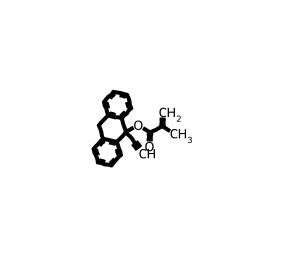 C#CC1(OC(=O)C(=C)C)c2ccccc2Cc2ccccc21